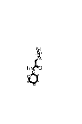 [N-]=[N+]=NCC(=O)N[C@H]1CCCCO1